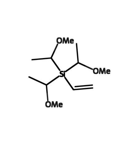 C=C[Si](C(C)OC)(C(C)OC)C(C)OC